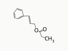 CCC(=O)OCC=Cc1ccccc1